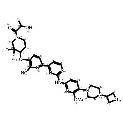 COc1nc(Nc2nccc(-c3ccc(OC4CCN(C(=O)C(C)O)CC4(F)F)c(C#N)n3)n2)ccc1N1CCN(C2COC2)CC1